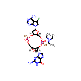 CCN(CC)CC.Nc1nc2c(ncn2[C@@H]2O[C@@H]3COP(=O)(S)O[C@H]4C[C@H](n5cc(F)c6c(N)ncnc65)O[C@@H]4COP(=O)(S)O[C@@H]2[C@@H]3F)c(=O)[nH]1